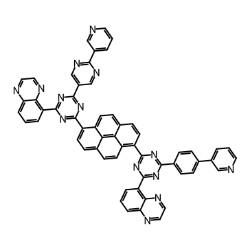 c1cncc(-c2ccc(-c3nc(-c4ccc5ccc6c(-c7nc(-c8cnc(-c9cccnc9)nc8)nc(-c8cccc9nccnc89)n7)ccc7ccc4c5c76)nc(-c4cccc5nccnc45)n3)cc2)c1